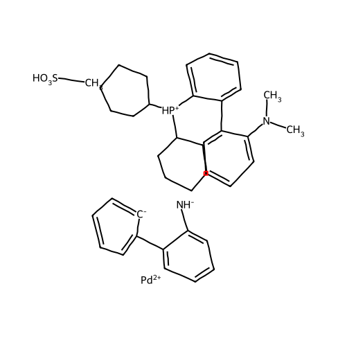 CN(C)c1ccccc1-c1ccccc1[PH+](C1CCCCC1)C1CCCCC1.CS(=O)(=O)O.[NH-]c1ccccc1-c1[c-]cccc1.[Pd+2]